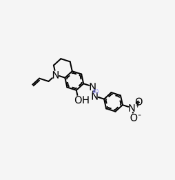 C=CCN1CCCc2cc(/N=N/c3ccc([N+](=O)[O-])cc3)c(O)cc21